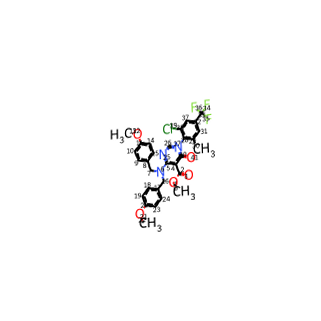 COC(=O)c1c(N(Cc2ccc(OC)cc2)Cc2ccc(OC)cc2)ncn(-c2c(C)cc(C(F)(F)F)cc2Cl)c1=O